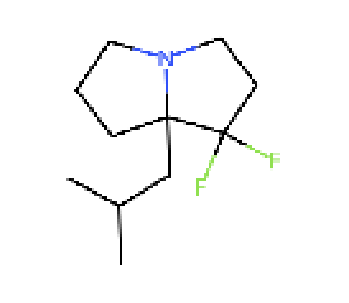 CC(C)CC12CCCN1CCC2(F)F